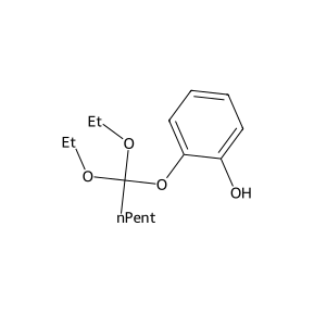 CCCCCC(OCC)(OCC)Oc1ccccc1O